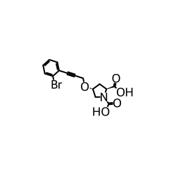 O=C(O)[C@@H]1C[C@@H](OCC#Cc2ccccc2Br)CN1C(=O)O